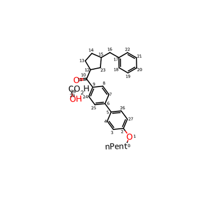 CCCCCOc1ccc(-c2ccc(C(=O)C3CCC(Cc4ccccc4)C3)cc2)cc1.O=C(O)O